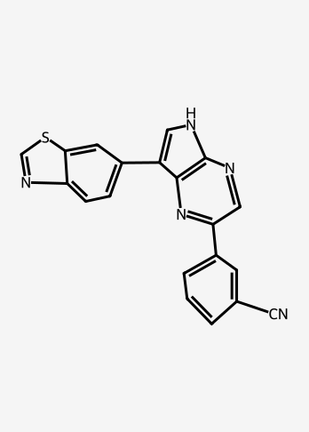 N#Cc1cccc(-c2cnc3[nH]cc(-c4ccc5ncsc5c4)c3n2)c1